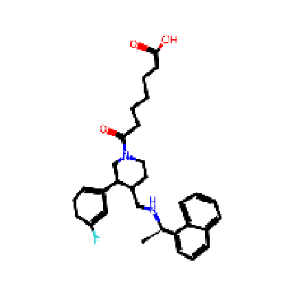 C[C@@H](NCC1CCN(C(=O)CCCCCC(=O)O)CC1C1=CCCC(F)=C1)c1cccc2ccccc12